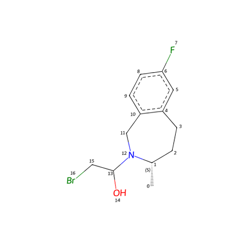 C[C@H]1CCc2cc(F)ccc2CN1C(O)CBr